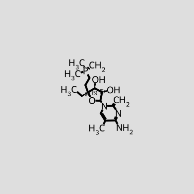 C=C1N=C(N)C(C)=CN1C1O[C@](CC)(CCP(=C)(C)C)[C@@H](O)[C@H]1O